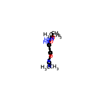 CN(C)C1CCN(CCCOc2ccc(C#Cc3ccc(NC(=O)Nc4cc(C(C)(C)C)on4)cc3)cc2)CC1